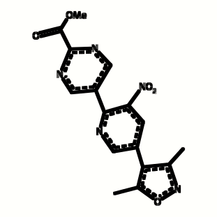 COC(=O)c1ncc(-c2ncc(-c3c(C)noc3C)cc2[N+](=O)[O-])cn1